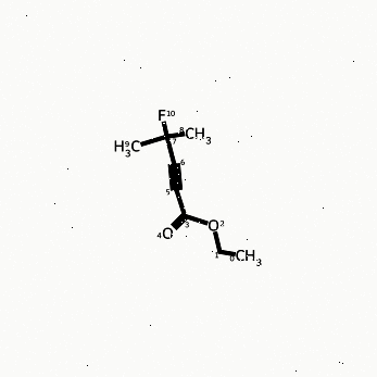 CCOC(=O)C#CC(C)(C)F